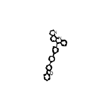 c1cnc2c(c1)ccc1c(-c3ccc(-c4ccc(-c5ccc6c(c5)oc5ccccc56)cc4)cc3)c3ccccc3nc12